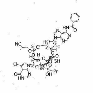 CC(C)[Si](O)(O[Si](O[C@H]1[C@H]2OP(=S)(OCCC#N)OC[C@H]3O[C@@H](n4cnc5c(NC(=O)c6ccccc6)ncnc54)[C@H](F)[C@@H]3OP(=O)(S)OC[C@H]1O[C@H]2n1cc(Cl)c2c(=O)[nH]cnc21)(C(C)C)C(C)C)C(C)C